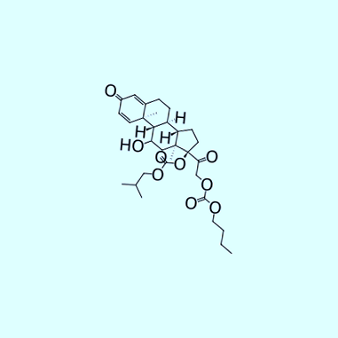 CCCCOC(=O)OCC(=O)[C@@]1(OC(=O)OCC(C)C)CC[C@H]2[C@@H]3CCC4=CC(=O)C=C[C@]4(C)[C@H]3C(O)C[C@@]21C